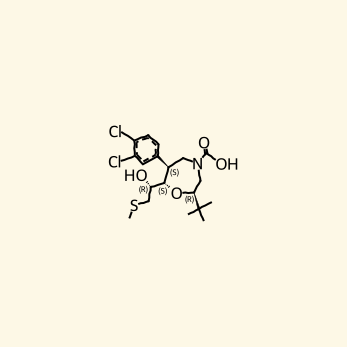 CSC[C@H](O)[C@H]1O[C@H](C(C)(C)C)CN(C(=O)O)C[C@@H]1c1ccc(Cl)c(Cl)c1